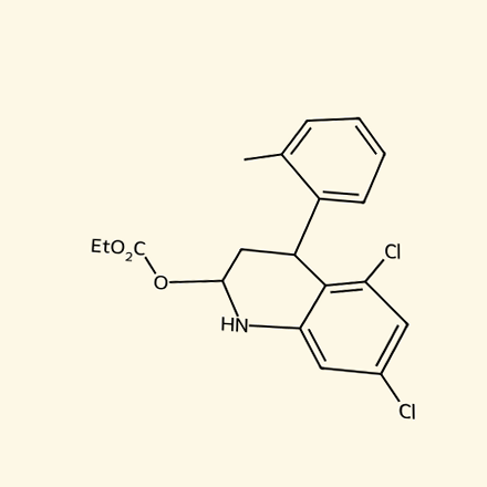 CCOC(=O)OC1CC(c2ccccc2C)c2c(Cl)cc(Cl)cc2N1